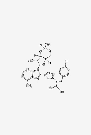 CC(C)(C)[C@H](O)[C@H](Cc1ccc(Cl)cc1)n1cncn1.Nc1ncnc2c1ncn2[C@@H]1O[C@@H]2COP(=O)(O)O[C@H]2[C@H]1O